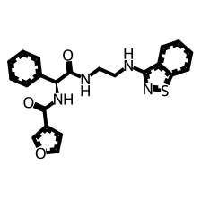 O=C(N[C@H](C(=O)NCCNc1nsc2ccccc12)c1ccccc1)c1ccoc1